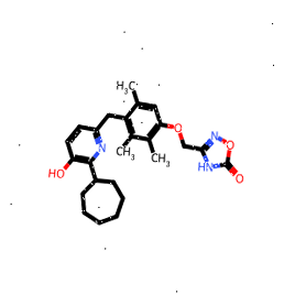 Cc1cc(OCc2noc(=O)[nH]2)c(C)c(C)c1Cc1ccc(O)c(C2CCCCCC2)n1